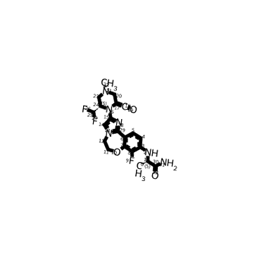 C[C@H](Nc1ccc2c(c1F)OCCn1cc(N3C(=C=O)CN(C)C[C@H]3C(F)F)nc1-2)C(N)=O